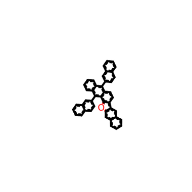 c1ccc2cc(-c3c4ccccc4c(-c4ccc5ccccc5c4)c4c3ccc3c5cc6ccccc6cc5oc34)ccc2c1